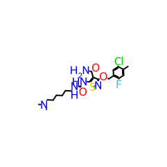 Cc1cc(F)c(COc2nsc(NC(=O)NCCCCCCN(C)C)c2C(N)=O)cc1Cl